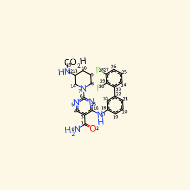 NC(=O)c1cnc(N2CCCC(NC(=O)O)C2)nc1Nc1cccc(-c2cccc(F)c2F)c1